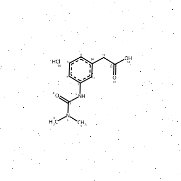 CN(C)C(=O)Nc1cccc(CC(=O)O)c1.Cl